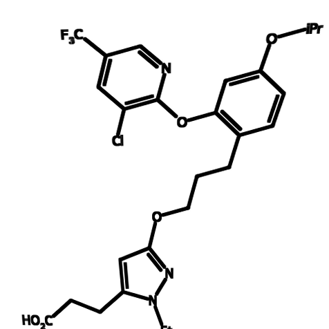 CCn1nc(OCCCc2ccc(OC(C)C)cc2Oc2ncc(C(F)(F)F)cc2Cl)cc1CCC(=O)O